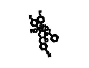 N#Cc1ccc(CC(CCC(O)(Nc2ccc(F)cc2)c2ccc(F)cc2)C(=O)N2C(=O)OCC2c2ccccc2)cc1